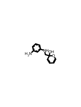 Nc1cccc(NCC2(O)C=CC=CO2)c1